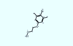 CCOCCSc1cc(C)c(Br)c(C)c1